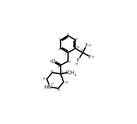 CC1(C(=O)Cc2ccccc2C(F)(F)F)CCNCC1